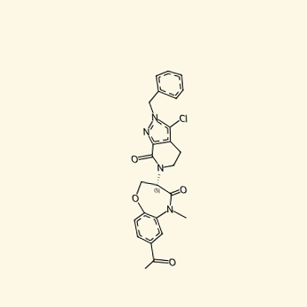 CC(=O)c1ccc2c(c1)N(C)C(=O)[C@@H](N1CCc3c(nn(Cc4ccccc4)c3Cl)C1=O)CO2